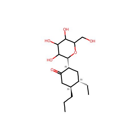 CCC[C@H]1CC(=O)[C@H](C2OC(CO)C(O)C(O)C2O)C[C@@H]1CC